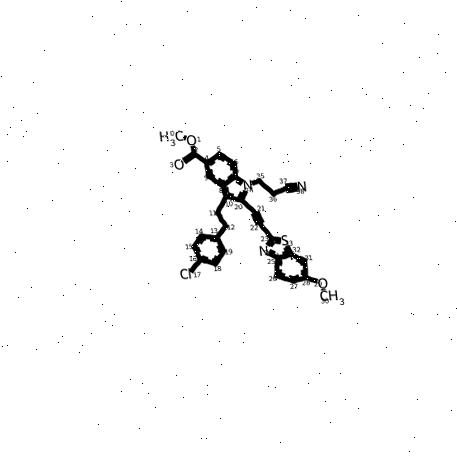 COC(=O)c1ccc2c(c1)c(CCc1ccc(Cl)cc1)c(C#Cc1nc3ccc(OC)cc3s1)n2CCC#N